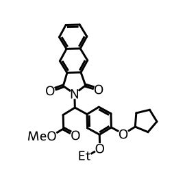 CCOc1cc(C(CC(=O)OC)N2C(=O)c3cc4ccccc4cc3C2=O)ccc1OC1CCCC1